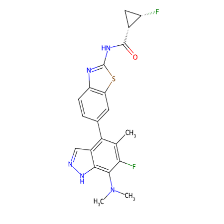 Cc1c(F)c(N(C)C)c2[nH]ncc2c1-c1ccc2nc(NC(=O)[C@@H]3C[C@@H]3F)sc2c1